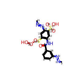 C/N=N/c1cccc(C(=O)Nc2cc(S(=O)(=O)O)c(/N=N/C)cc2SOOO)c1